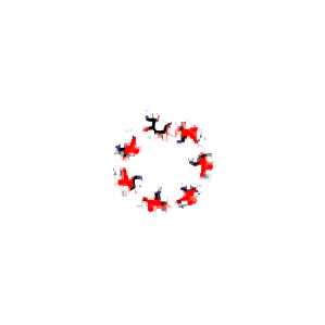 O[C@@H]1[C@@H](O)[C@H]2O[C@H]3[C@H](O)[C@@H](O)[C@@H](O[C@H]4[C@H](O)[C@@H](O)[C@@H](O[C@H]5[C@H](O)[C@@H](O)[C@@H](O[C@H]6[C@H](O)[C@@H](O)[C@@H](O[C@H]7[C@H](O)[C@@H](O)[C@@H](O[C@H]8[C@H](O)[C@@H](O)[C@@H](O[C@@H]1[C@@H](CI)O2)O[C@@H]8CI)O[C@@H]7CI)O[C@@H]6CI)O[C@@H]5CI)O[C@@H]4CI)O[C@@H]3CI